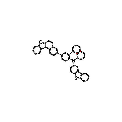 c1ccc(-c2cc(-c3ccc4c(ccc5oc6ccccc6c54)c3)ccc2N(c2ccccc2)c2ccc3sc4ccccc4c3c2)cc1